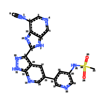 [C-]#[N+]c1cncc2[nH]c(-c3n[nH]c4ncc(-c5cncc(NS(C)(=O)=O)c5)cc34)nc12